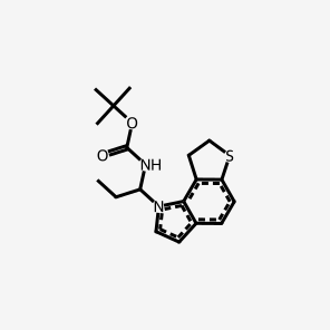 CCC(NC(=O)OC(C)(C)C)n1ccc2ccc3c(c21)CCS3